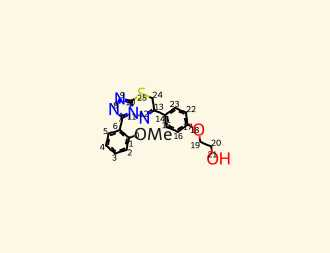 COc1ccccc1-c1nnc2n1N=C(c1ccc(OCCO)cc1)CS2